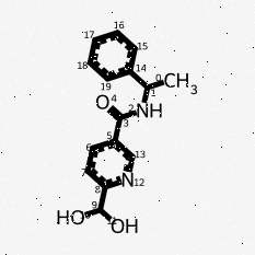 CC(NC(=O)c1ccc(C(O)O)nc1)c1ccccc1